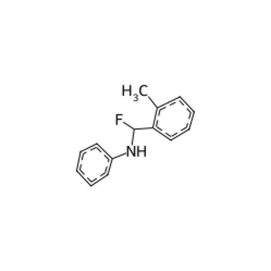 Cc1ccccc1C(F)Nc1ccccc1